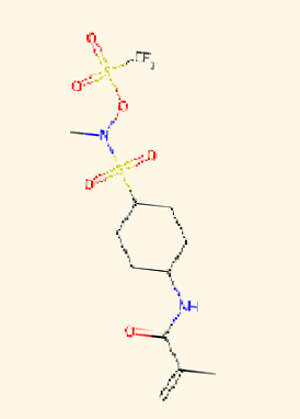 C=C(C)C(=O)NC1CCC(S(=O)(=O)N(C)OS(=O)(=O)C(F)(F)F)CC1